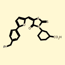 CC(C)Cc1ccc(-c2ccc(C=C3SC(=S)N(C4CCCC(C(=O)O)C4)C3=O)o2)cc1